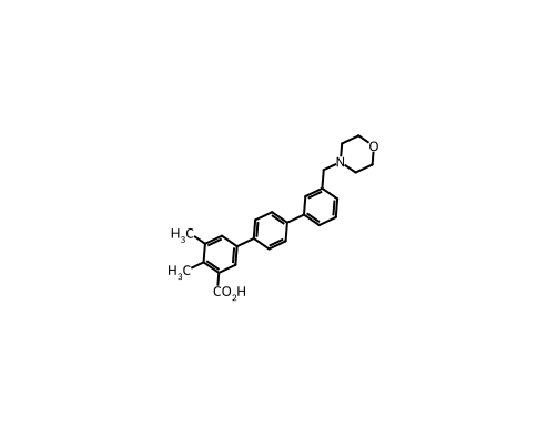 Cc1cc(-c2ccc(-c3cccc(CN4CCOCC4)c3)cc2)cc(C(=O)O)c1C